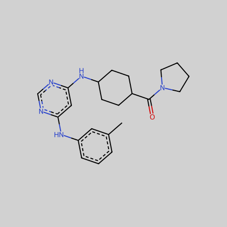 Cc1cccc(Nc2cc(NC3CCC(C(=O)N4CCCC4)CC3)ncn2)c1